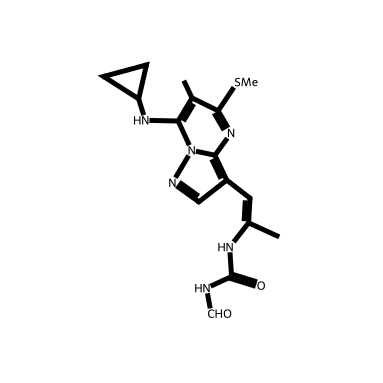 CSc1nc2c(/C=C(/C)NC(=O)NC=O)cnn2c(NC2CC2)c1C